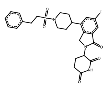 O=C1CCC(N2Cc3c(cc(F)cc3C3CCN(S(=O)(=O)CCc4ccccc4)CC3)C2=O)C(=O)N1